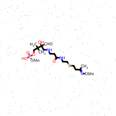 CO/N=C(\C)CCSCCNC(=O)CCNCC(O)(C=O)C(C)(C)COP(=O)(O)OC